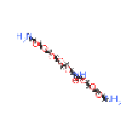 NCCOCCOCCOCCOCCOCCNC(=O)COCCOCCOCCN